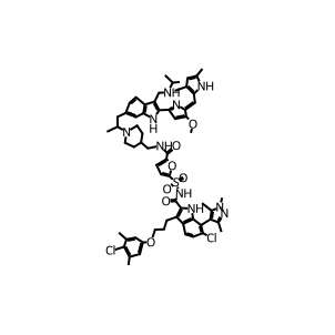 COC1=CC(c2[nH]c3cc(CC(C)N4CCC(CNC(=O)c5ccc(S(=O)(=O)NC(=O)c6[nH]c7c(-c8c(C)nn(C)c8C)c(Cl)ccc7c6CCCOc6cc(C)c(Cl)c(C)c6)o5)CC4)ccc3c2CNC(C)C)=N/C1=C\c1[nH]c(C)cc1C